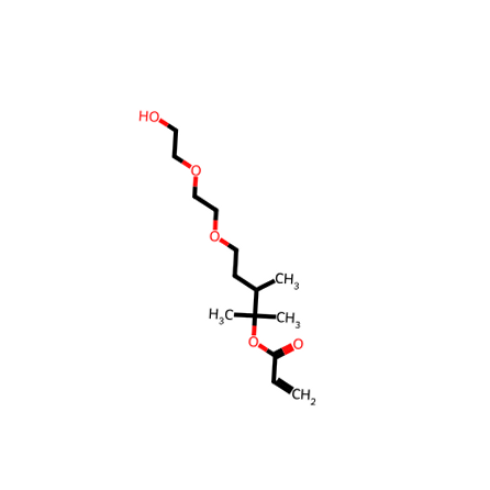 C=CC(=O)OC(C)(C)C(C)CCOCCOCCO